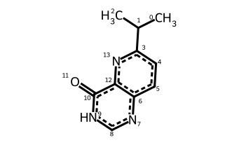 CC(C)c1ccc2nc[nH]c(=O)c2n1